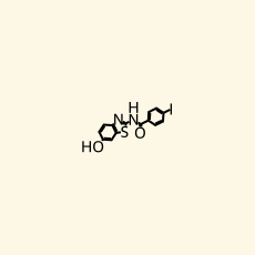 O=C(Nc1nc2ccc(O)cc2s1)c1ccc(I)cc1